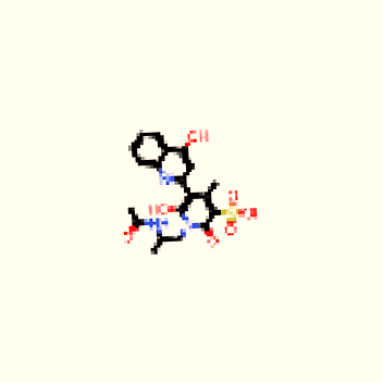 CC(=O)NC(C)Cn1c(O)c(-c2cc(O)c3ccccc3n2)c(C)c(S(=O)(=O)O)c1=O